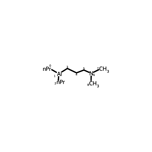 CC[CH2][Al]([CH2]CC)[CH2]CCN(C)C